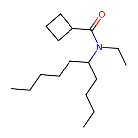 CCCCCC(CCCC)N(CC)C(=O)C1CCC1